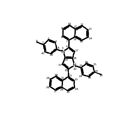 Cc1ccc(-n2c(-c3cccc4ccccc34)cc3c2cc(-c2cccc4ccccc24)n3-c2ccc(C)cc2)cc1